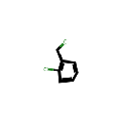 ClCc1[c]cccc1Cl